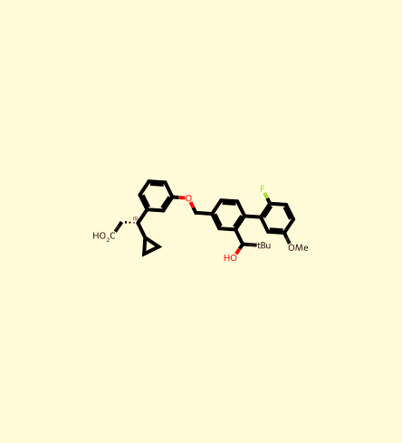 COc1ccc(F)c(-c2ccc(COc3cccc([C@@H](CC(=O)O)C4CC4)c3)cc2C(O)C(C)(C)C)c1